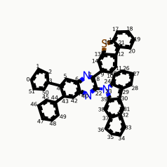 c1ccc(-c2cc3nc(-c4ccc5c(c4)sc4ccccc45)c(-n4c5ccccc5c5cc6ccccc6cc54)nc3cc2-c2ccccc2)cc1